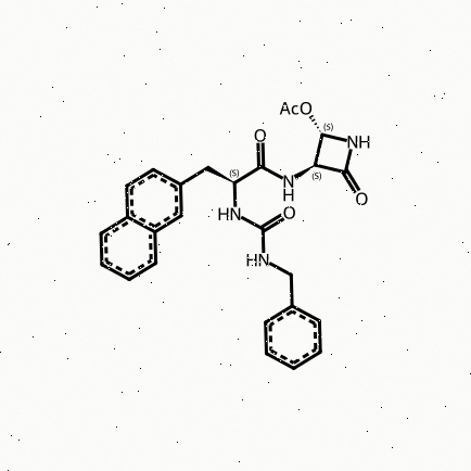 CC(=O)O[C@@H]1NC(=O)[C@H]1NC(=O)[C@H](Cc1ccc2ccccc2c1)NC(=O)NCc1ccccc1